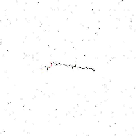 CCCCCCCCC(Br)C(Br)CCCCCCCC(O)OC(C)C[N+](C)(C)C